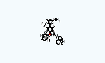 Cc1cc(N)nc(-c2c(Cl)cc3c(N4CC[C@H]5CC[C@@H](C4)N5C(=O)OC(C)(C)C)nc(OC[C@]45CCC[C@H]4N(C)CCC5)nc3c2F)c1C(F)(F)F